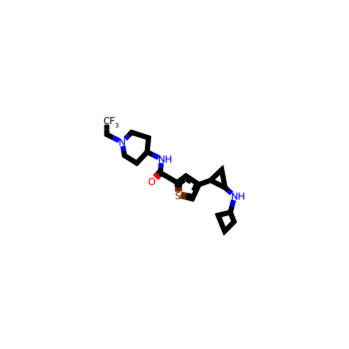 O=C(NC1CCN(CC(F)(F)F)CC1)c1cc(C2CC2NC2CCC2)cs1